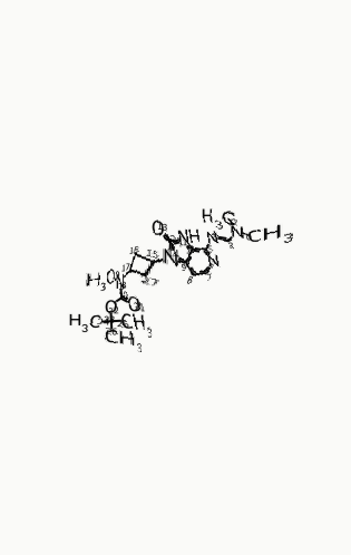 CN(C)/C=N/c1nccc2c1[nH]c(=O)n2C1CC(N(C)C(=O)OC(C)(C)C)C1